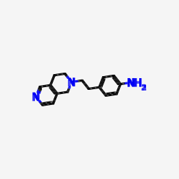 Nc1ccc(CCN2CCc3cnccc3C2)cc1